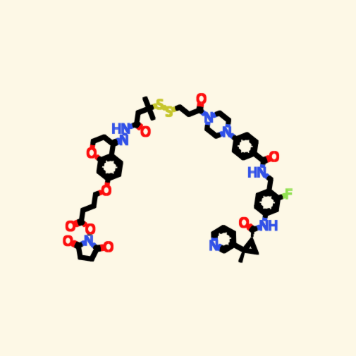 CC(C)(CC(=O)N/N=C1\CCOc2cc(OCCCC(=O)ON3C(=O)CCC3=O)ccc21)SSCCC(=O)N1CCN(c2ccc(C(=O)NCc3ccc(NC(=O)[C@@H]4C[C@]4(C)c4cccnc4)cc3F)cc2)CC1